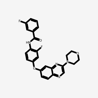 O=C(Nc1ccc(Oc2ccc3ncc(N4CCOCC4)nc3c2)cc1F)c1cccc(F)c1